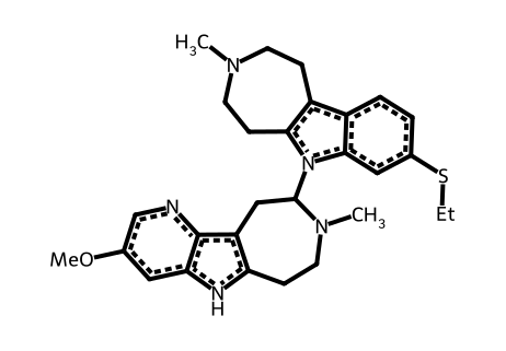 CCSc1ccc2c3c(n(C4Cc5c([nH]c6cc(OC)cnc56)CCN4C)c2c1)CCN(C)CC3